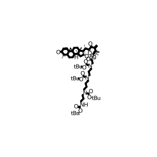 C=C(C(=O)[C@H](OC(C)=O)[C@@H](C)[C@H]1[C@@H](OC(C)=O)C[C@@]2(C)[C@@H]3CCC4[C@H](C)C(=O)C=C[C@@]45C[C@@]35CC[C@]12C)[C@@H](C)COC(=O)CN(CCCN(CCCCN(CCCNC(=O)OC(C)(C)C)C(=O)OC(C)(C)C)C(=O)OC(C)(C)C)C(=O)OC(C)(C)C